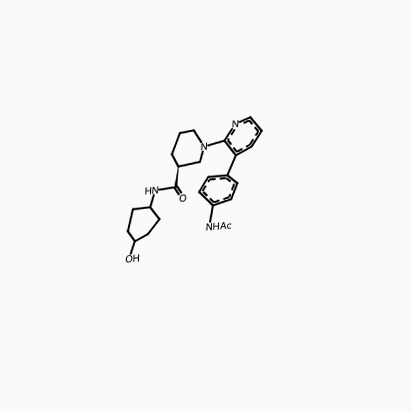 CC(=O)Nc1ccc(-c2cccnc2N2CCC[C@H](C(=O)NC3CCC(O)CC3)C2)cc1